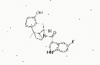 CC1(C)[C@H]2Cc3c(O)cccc3[C@]1(C)CCN2C(=O)c1c[nH]c2ccc(F)cc12